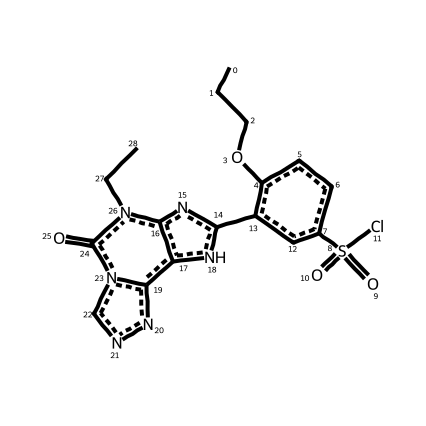 CCCOc1ccc(S(=O)(=O)Cl)cc1-c1nc2c([nH]1)c1nncn1c(=O)n2CC